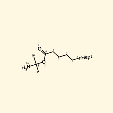 CCCCCCCCCCCC(=O)OC(C)(C)N